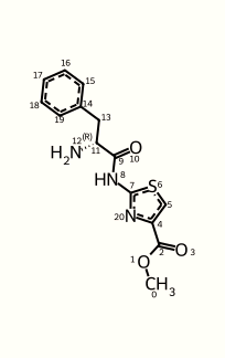 COC(=O)c1csc(NC(=O)[C@H](N)Cc2ccccc2)n1